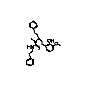 COc1cccc(CCC(CCc2ccccc2)N(C)C(=S)NCCc2ccccc2)c1O